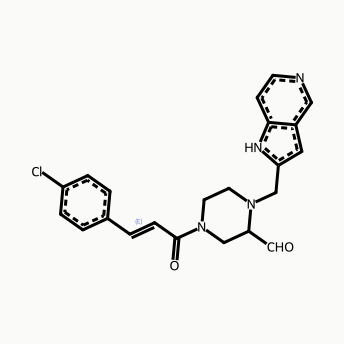 O=CC1CN(C(=O)/C=C/c2ccc(Cl)cc2)CCN1Cc1cc2cnccc2[nH]1